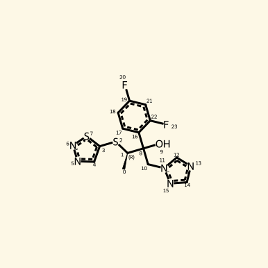 C[C@@H](Sc1cnns1)C(O)(Cn1cncn1)c1ccc(F)cc1F